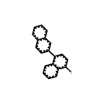 Ic1ccc(-c2ccc3ccccc3c2)c2ccccc12